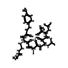 CC(C)C[C@H](NC(=O)[C@H](C)NC(=O)[C@H](CCCNN)NC(=O)CCc1ccc(O)cc1)C(=O)N[C@H](CC(C)C)C(N)=O